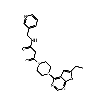 CCc1cc2c(N3CCN(C(=O)CC(=O)NCc4cccnc4)CC3)ncnc2s1